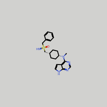 CN(c1ncnc2[nH]ccc12)[C@H]1CC[C@@H](CS(=N)(=O)Cc2ccccc2)CC1